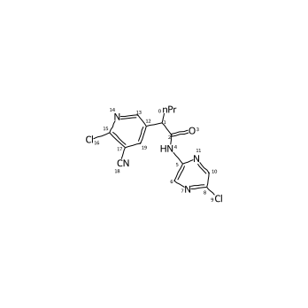 CCCC(C(=O)Nc1cnc(Cl)cn1)c1cnc(Cl)c(C#N)c1